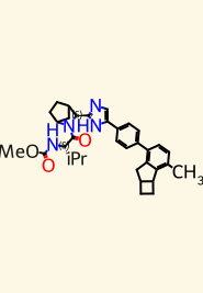 COC(=O)N[C@H](C(=O)N1C2CCC(C2)[C@H]1c1ncc(-c2ccc(-c3ccc(C)c4c3CC3CCC43)cc2)[nH]1)C(C)C